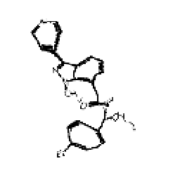 CCc1ccc([C@H](C)NC(=O)c2cccc3c(-c4ccncc4)nn(C)c23)cc1